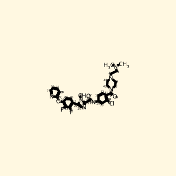 CN(C)CCN1CCN(C(=O)c2ccc(NC(=O)c3ncc(-c4ccc(Oc5ccccn5)c(F)c4F)n3C)cc2Cl)CC1